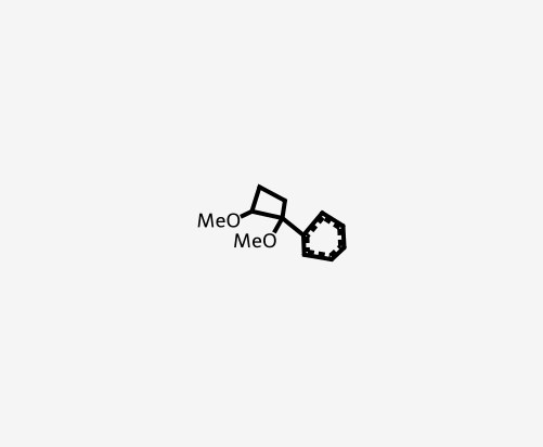 COC1CCC1(OC)c1ccccc1